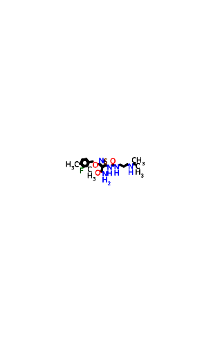 Cc1ccc(COc2nsc(NC(=O)NCCCNC(C)C)c2C(N)=O)c(C)c1F